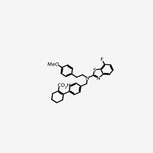 COc1ccc(CCN(Cc2ccc(C3=C(C(=O)O)CCCC3)cc2)c2nc3cccc(F)c3s2)cc1